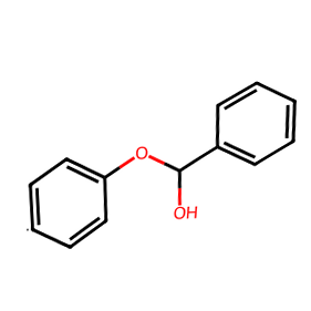 OC(Oc1cc[c]cc1)c1ccccc1